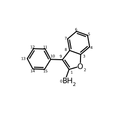 Bc1oc2ccccc2c1-c1ccccc1